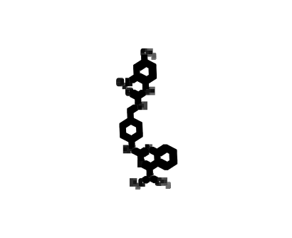 Cc1ccc(NC(=O)NCC2CCC(Nc3nc(N(C)C)c4ccccc4n3)CC2)c([N+](=O)[O-])c1